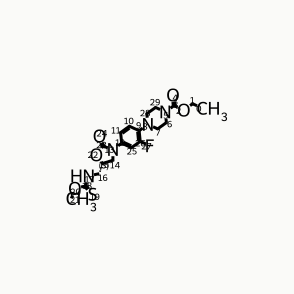 CCOC(=O)N1CCN(c2ccc(N3C[C@H](CNC(=S)OC)OC3=O)cc2F)CC1